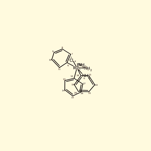 [NH2][Ru]([NH2])([NH2])([PH2])([Cl])([c]1ccccc1)([c]1ccccc1)[c]1ccccc1